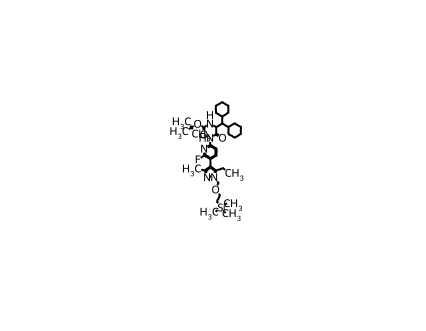 CCc1c(-c2ccc(NC(=O)C(NC(=O)OC(C)(C)C)C(C3CCCCC3)C3CCCCC3)nc2F)c(C)nn1COCC[Si](C)(C)C